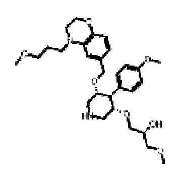 COCCCN1CCOc2ccc(CO[C@H]3CNC[C@@H](OC[C@@H](O)COC)[C@@H]3c3ccc(OC)cc3)cc21